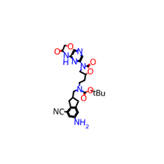 CC(C)(C)OC(=O)N(CCC1CN(c2cnc3c(n2)NC(=O)CO3)C(=O)O1)CC1Cc2cc(N)cc(C#N)c2C1